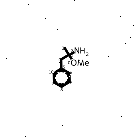 COC(C)(N)Cc1ccccc1